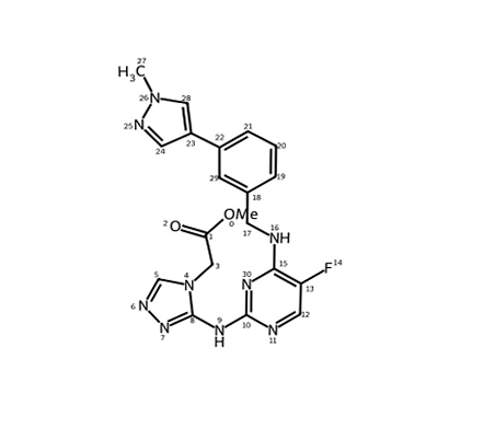 COC(=O)Cn1cnnc1Nc1ncc(F)c(NCc2cccc(-c3cnn(C)c3)c2)n1